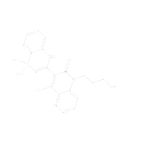 CCCCn1c(=O)c(C2=NS(O)(O)c3ccccc3N2)c(O)c2ncccc21